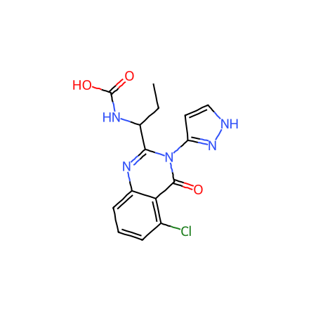 CCC(NC(=O)O)c1nc2cccc(Cl)c2c(=O)n1-c1cc[nH]n1